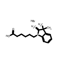 Br.C=C1N(CCCCCC(=O)O)c2ccccc2C1(C)C